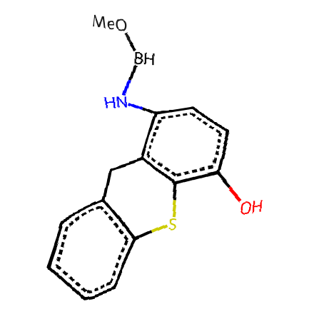 COBNc1ccc(O)c2c1Cc1ccccc1S2